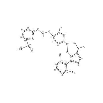 Cc1cc(OCc2c(C(C)C)cnn2-c2c(F)cccc2F)ccc1CNCc1cccc(C(=O)O)c1